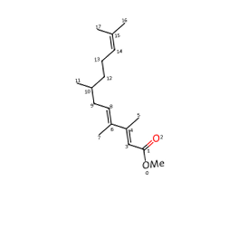 COC(=O)/C=C(C)/C(C)=C/CC(C)CCC=C(C)C